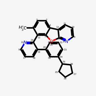 Cc1ccc2c(oc3ncccc32)c1-c1ncccc1-c1cccc(C2CCCC2)c1